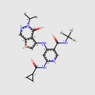 [2H]C([2H])([2H])NC(=O)c1cnc(NC(=O)C2CC2)cc1Nc1csc2cnn(C(C)C)c(=O)c12